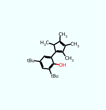 CC1=C(C)C(C)C(c2cc(C(C)(C)C)cc(C(C)(C)C)c2O)=C1C